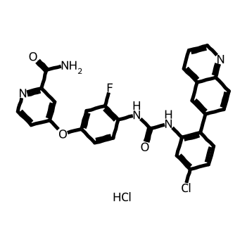 Cl.NC(=O)c1cc(Oc2ccc(NC(=O)Nc3cc(Cl)ccc3-c3ccc4ncccc4c3)c(F)c2)ccn1